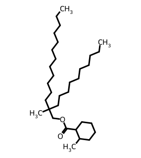 CCCCCCCCCCCCC(C)(CCCCCCCCCC)COC(=O)C1CCCCC1C